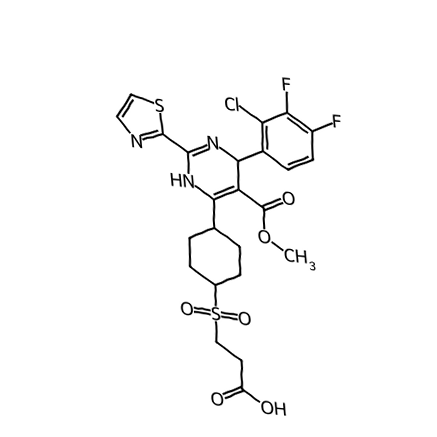 COC(=O)C1=C(C2CCC(S(=O)(=O)CCC(=O)O)CC2)NC(c2nccs2)=NC1c1ccc(F)c(F)c1Cl